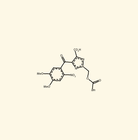 CCCC(=O)OCn1nc(C(=O)O)c(C(=O)c2cc(OC)c(OC)cc2[N+](=O)[O-])n1